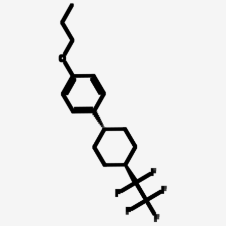 CCCOc1ccc([C@H]2CC[C@H](C(F)(F)C(F)(F)F)CC2)cc1